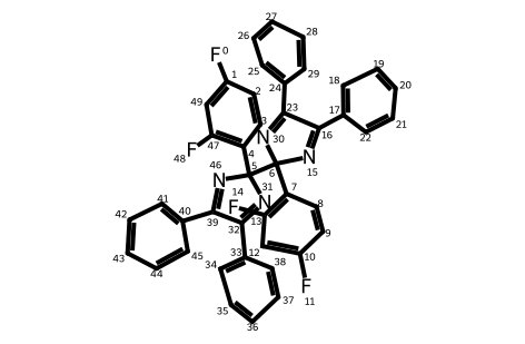 Fc1ccc(C2(C3(c4ccc(F)cc4F)N=C(c4ccccc4)C(c4ccccc4)=N3)N=C(c3ccccc3)C(c3ccccc3)=N2)c(F)c1